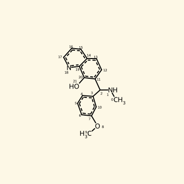 CNC(c1cccc(OC)c1)c1ccc2cccnc2c1O